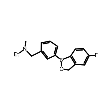 CCN(C)Cc1cccc(B2OCc3cc(F)ccc32)c1